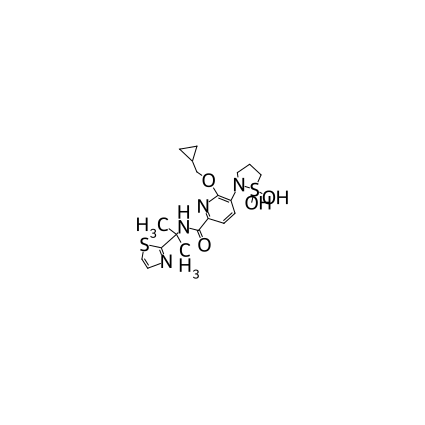 CC(C)(NC(=O)c1ccc(N2CCCS2(O)O)c(OCC2CC2)n1)c1nccs1